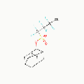 O=S(=O)(OC1C2CC3CC(C2)CC1C3)C(F)(F)C(F)(F)C(F)(F)C(F)(F)F